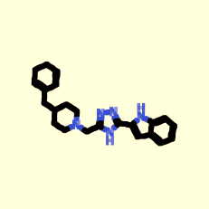 C1=CC(CC2CCN(Cc3nnc(-c4cc5ccccc5[nH]4)[nH]3)CC2)=CCC1